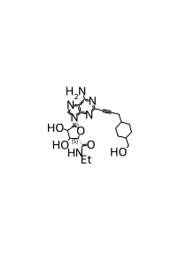 CCNC(=O)[C@H]1O[C@@H](n2cnc3c(N)nc(C#CCC4CCC(CO)CC4)nc32)C(O)C1O